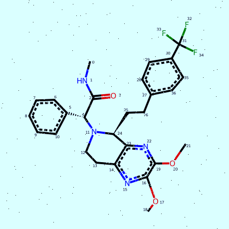 CNC(=O)[C@@H](c1ccccc1)N1CCc2nc(OC)c(OC)nc2[C@@H]1CCc1ccc(C(F)(F)F)cc1